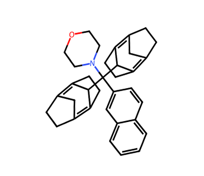 c1ccc2cc(C(C3C4=C5CCC(=C3CC4)C5)(C3C4=C5CCC(=C3CC4)C5)N3CCOCC3)ccc2c1